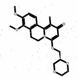 COc1ccc2c(c1OC)CCn1c(OC[C@@H]3COCCO3)cc(=O)c(C)c1-2